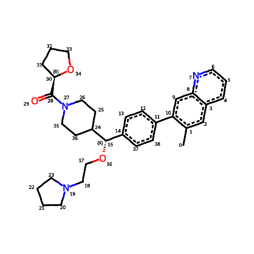 Cc1cc2cccnc2cc1-c1ccc([C@H](OCCN2CCCC2)C2CCN(C(=O)[C@H]3CCCO3)CC2)cc1